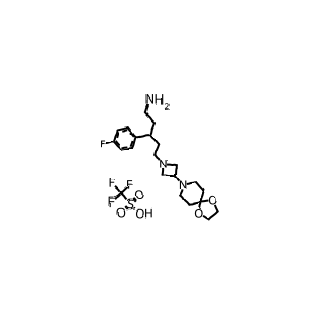 NCCC(CCN1CC(N2CCC3(CC2)OCCO3)C1)c1ccc(F)cc1.O=S(=O)(O)C(F)(F)F